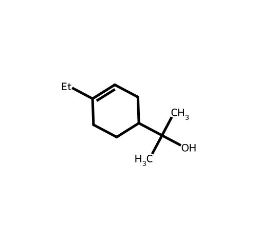 CCC1=CCC(C(C)(C)O)CC1